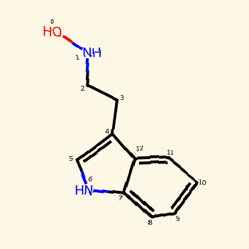 ONCCc1c[nH]c2ccccc12